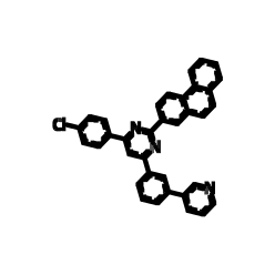 Clc1ccc(-c2cc(-c3cccc(-c4cccnc4)c3)nc(-c3ccc4c(ccc5ccccc54)c3)n2)cc1